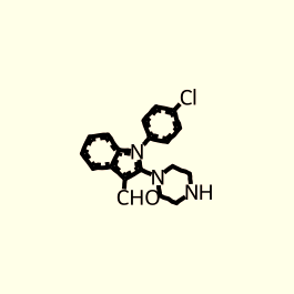 O=Cc1c(N2CCNCC2)n(-c2ccc(Cl)cc2)c2ccccc12